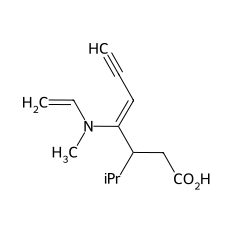 C#C/C=C(/C(CC(=O)O)C(C)C)N(C)C=C